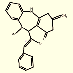 C=C1CC(=O)C2=C(C1)Nc1ccccc1N(C(C)=O)C2/C(Br)=C/c1ccccc1